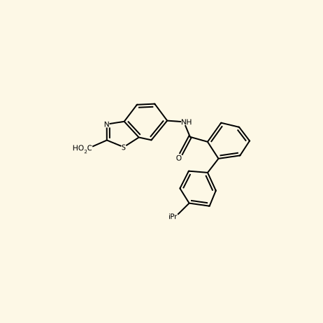 CC(C)c1ccc(-c2ccccc2C(=O)Nc2ccc3nc(C(=O)O)sc3c2)cc1